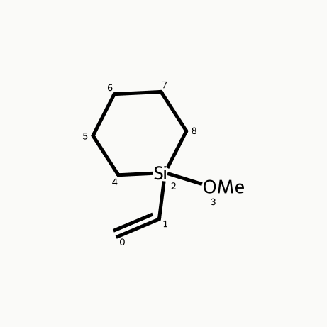 C=C[Si]1(OC)CCCCC1